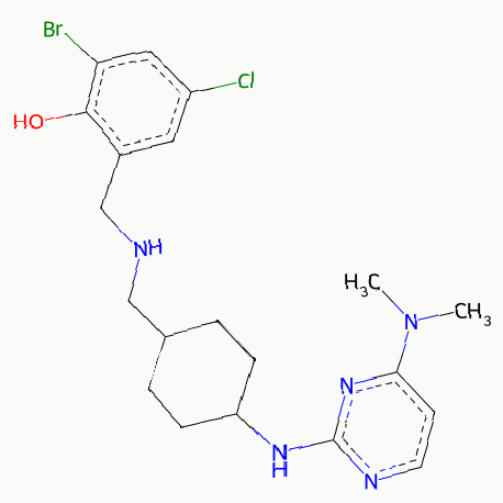 CN(C)c1ccnc(NC2CCC(CNCc3cc(Cl)cc(Br)c3O)CC2)n1